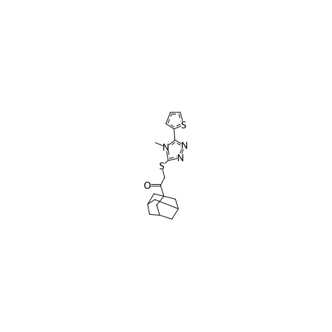 Cn1c(SCC(=O)C23CC4CC(CC(C4)C2)C3)nnc1-c1cccs1